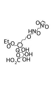 CCC(=O)OCc1cc(CCCOCCNC(=O)CCN2C(=O)C=CC2=O)ccc1O[C@@H]1O[C@H](C(=O)O)[C@@H](O)[C@H](O)[C@H]1O